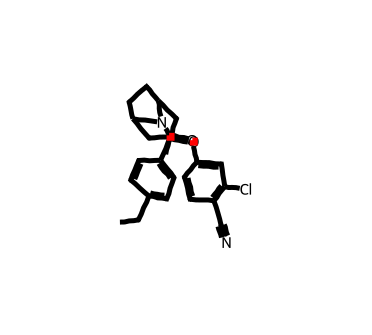 CCc1ccc(C(=O)N2C3CCC2CC(C)(Oc2ccc(C#N)c(Cl)c2)C3)cc1